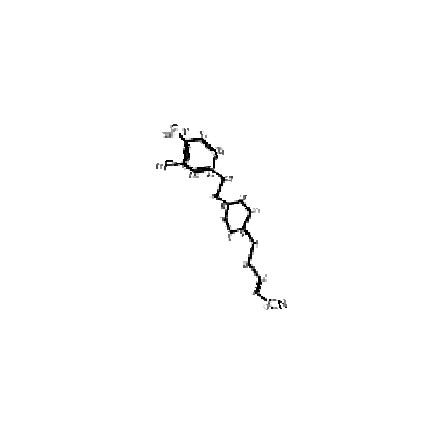 N#CC=CCCC1CCC(CCc2ccc(F)c(F)c2)CC1